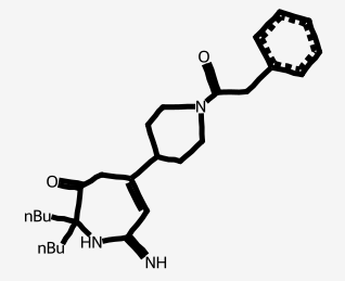 CCCCC1(CCCC)NC(=N)C=C(C2CCN(C(=O)Cc3ccccc3)CC2)CC1=O